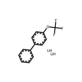 FC(F)(F)Oc1ccc(-c2ccccc2)cc1.[LiH].[LiH]